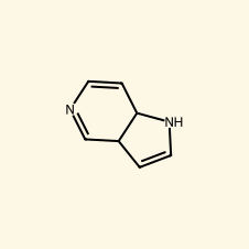 C1=CC2NC=CC2C=N1